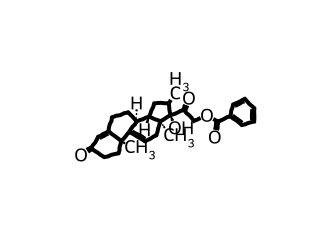 CC1C[C@H]2[C@@H]3CCC4=CC(=O)CC[C@]4(C)C3=CC[C@]2(C)[C@@]1(O)C(=O)COC(=O)c1ccccc1